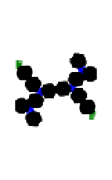 Fc1ccc(-c2ccc(N(c3ccc(-c4ccc(N(c5ccc(-c6ccc(F)cc6)cc5)c5ccc6c(c5)c5ccccc5n6-c5ccccc5)cc4)cc3)c3ccc4c(c3)C3C=CC=CC3N4c3ccccc3)cc2)cc1